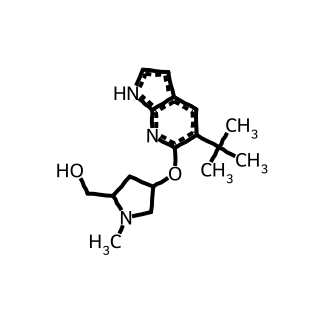 CN1CC(Oc2nc3[nH]ccc3cc2C(C)(C)C)CC1CO